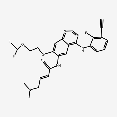 C#Cc1cccc(Nc2ncnc3cc(OCCOC(F)F)c(NC(=O)/C=C/CN(C)C)cc23)c1F